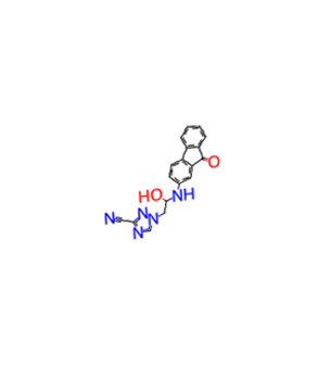 N#Cc1ncn(CC(O)Nc2ccc3c(c2)C(=O)c2ccccc2-3)n1